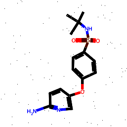 CC(C)(C)NS(=O)(=O)c1ccc(Oc2ccc(N)nc2)cc1